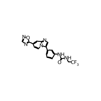 O=C(NCC(F)(F)F)Nc1cccc(-c2cnc3cc(-c4ncno4)ccn23)c1